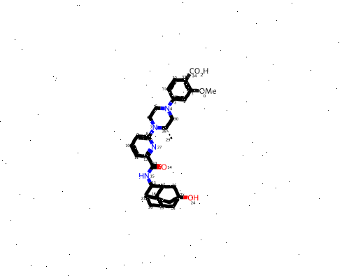 COc1cc(N2CCN(c3cccc(C(=O)NC4C5CC6CC4CC(O)(C6)C5)n3)[C@@H](C)C2)ccc1C(=O)O